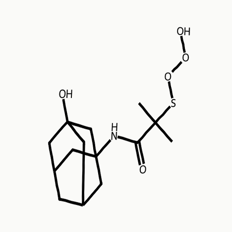 CC(C)(SOOO)C(=O)NC12CC3CC(CC(O)(C3)C1)C2